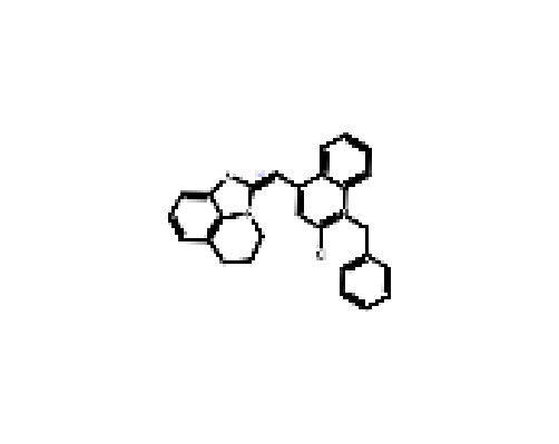 Clc1cc(/C=C2/Sc3cccc4c3N2CCC4)c2ccccc2[n+]1Cc1ccccc1